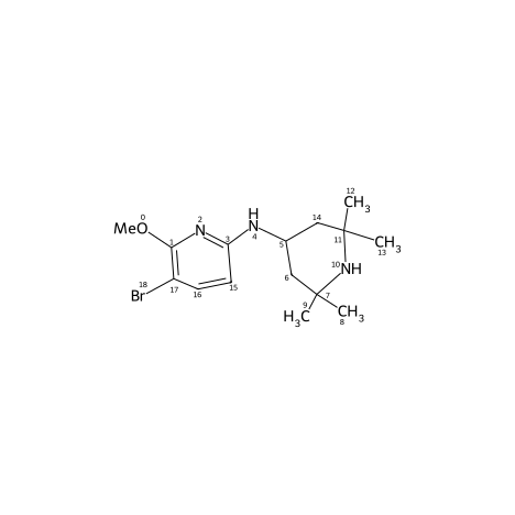 COc1nc(NC2CC(C)(C)NC(C)(C)C2)ccc1Br